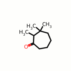 CC1C(=O)CCCCC1(C)C